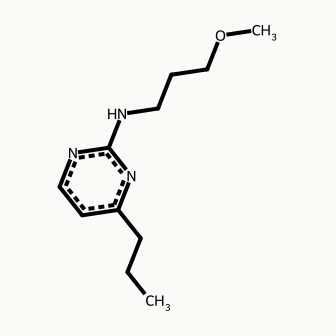 CCCc1ccnc(NCCCOC)n1